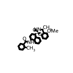 COc1ccccc1C(C)NS(=O)(=O)c1ccc(NC(=O)c2ccccc2C)c2ccccc12